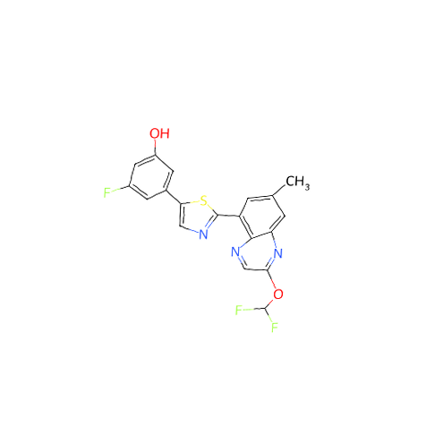 Cc1cc(-c2ncc(-c3cc(O)cc(F)c3)s2)c2ncc(OC(F)F)nc2c1